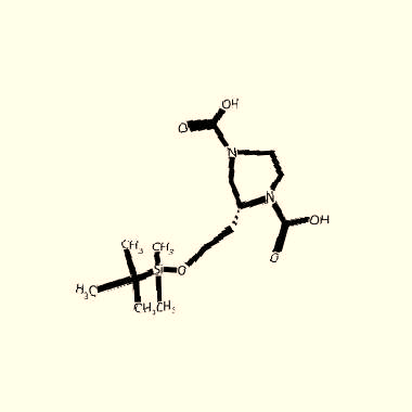 CC(C)(C)[Si](C)(C)OCC[C@@H]1CN(C(=O)O)CCN1C(=O)O